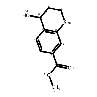 COC(=O)c1ccc2c(c1)SCCC2O